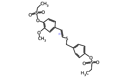 CCS(=O)(=O)Oc1ccc(CS/C=C/c2ccc(OS(=O)(=O)CC)c(OC)c2)cc1